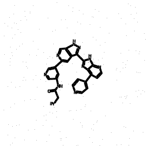 CC(C)CC(=O)Nc1cncc(-c2cc3c(-c4nc5c(-c6ccncc6)ccnc5[nH]4)n[nH]c3cn2)c1